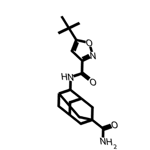 CC(C)(C)c1cc(C(=O)NC2C3CC4CC2CC(C(N)=O)(C4)C3)no1